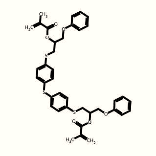 C=C(C)C(=O)OC(COc1ccccc1)CSc1ccc(Sc2ccc(SCC(COc3ccccc3)OC(=O)C(=C)C)cc2)cc1